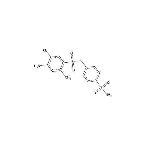 Cc1cc(N)c(Cl)cc1S(=O)(=O)Cc1ccc(S(N)(=O)=O)cc1